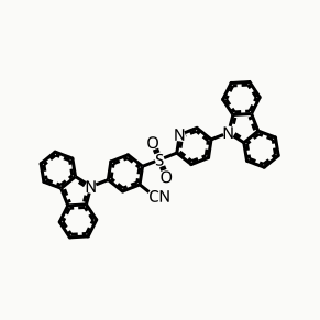 N#Cc1cc(-n2c3ccccc3c3ccccc32)ccc1S(=O)(=O)c1ccc(-n2c3ccccc3c3ccccc32)cn1